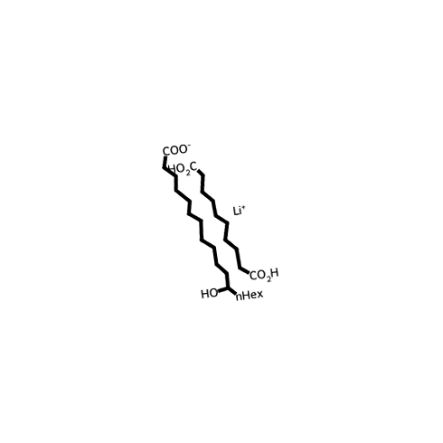 CCCCCCC(O)CCCCCCCCCCC(=O)[O-].O=C(O)CCCCCCCCC(=O)O.[Li+]